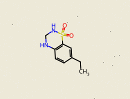 CCc1ccc2c(c1)S(=O)(=O)NCN2